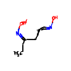 CC(C[C]=NO)=NO